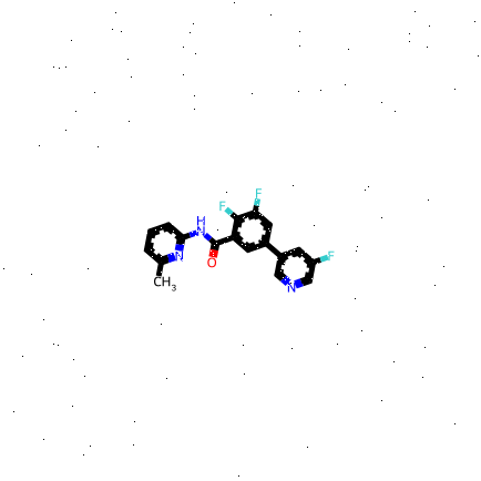 Cc1cccc(NC(=O)c2cc(-c3cncc(F)c3)cc(F)c2F)n1